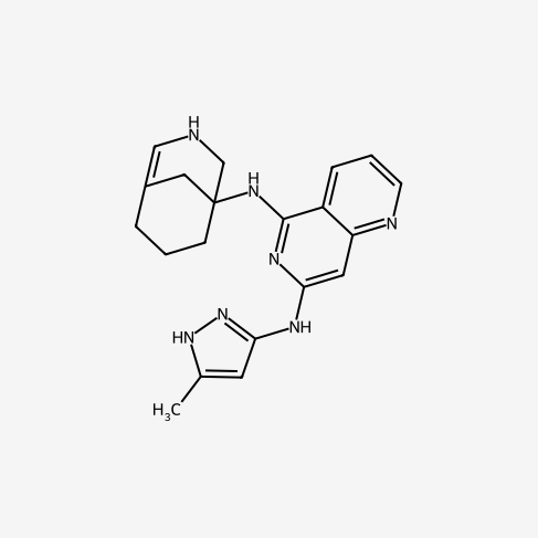 Cc1cc(Nc2cc3ncccc3c(NC34CCCC(=CNC3)C4)n2)n[nH]1